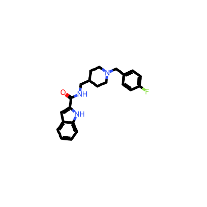 O=C(NCC1CCN(Cc2ccc(F)cc2)CC1)c1cc2ccccc2[nH]1